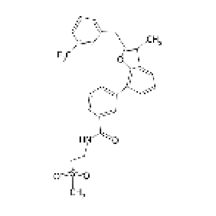 Cc1c(Cc2cccc(C(F)(F)F)c2)oc2c(-c3cccc(C(=O)NCCS(C)(=O)=O)c3)cccc12